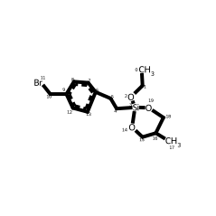 CCO[Si]1(CCc2ccc(CBr)cc2)OCC(C)CO1